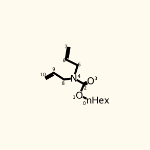 [CH2]CCCCCOC(=O)N(CC=C)CC=C